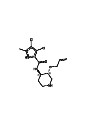 C=CCO[C@@H]1CNCC[C@H]1NC(=O)c1[nH]c(C)c(Cl)c1Cl